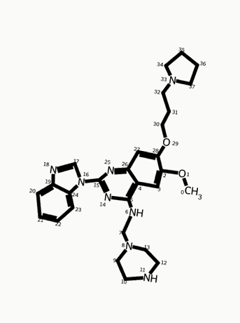 COc1cc2c(NCN3CCNCC3)nc(-n3cnc4ccccc43)nc2cc1OCCCN1CCCC1